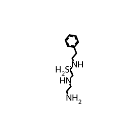 NCCNC[SiH2]NCCc1ccccc1